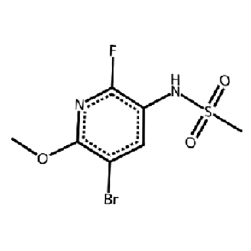 COc1nc(F)c(NS(C)(=O)=O)cc1Br